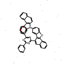 c1ccc(-c2nc(-c3ccccc3)nc(-c3cc4ccccc4c4oc5ccc(-n6c7ccccc7c7c8ccccc8ccc76)cc5c34)n2)cc1